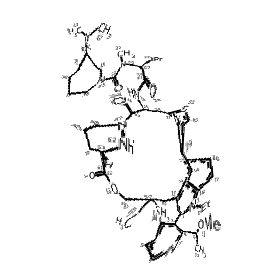 CCn1c(-c2cccnc2[C@H](C)OC)c2c3cc(ccc31)-c1csc(n1)C[C@H](NC(=O)[C@H](C(C)C)N(C)C(=O)N1CCCCC(N(C)C)C1)C(=O)N1CCC[C@H](N1)C(=O)OCC(C)(C)C2